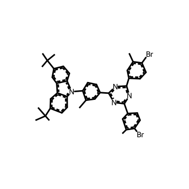 Cc1cc(-c2nc(-c3ccc(Br)c(C)c3)nc(-c3ccc(-n4c5ccc(C(C)(C)C)cc5c5cc(C(C)(C)C)ccc54)c(C)c3)n2)ccc1Br